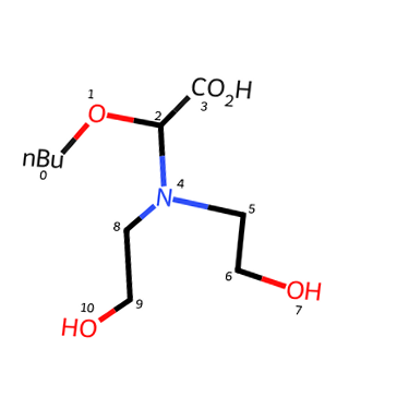 CCCCOC(C(=O)O)N(CCO)CCO